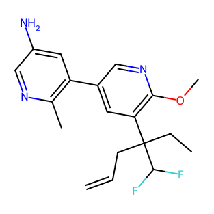 C=CCC(CC)(c1cc(-c2cc(N)cnc2C)cnc1OC)C(F)F